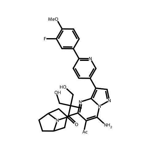 COc1ccc(-c2ccc(-c3cnn4c(N)c(C(C)=O)c(C5CC6CCC(C5)N6C(=O)C(C)(CO)CO)nc34)cn2)cc1F